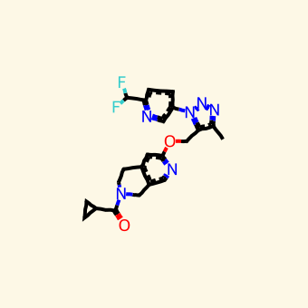 Cc1nnn(-c2ccc(C(F)F)nc2)c1COc1cc2c(cn1)CN(C(=O)C1CC1)CC2